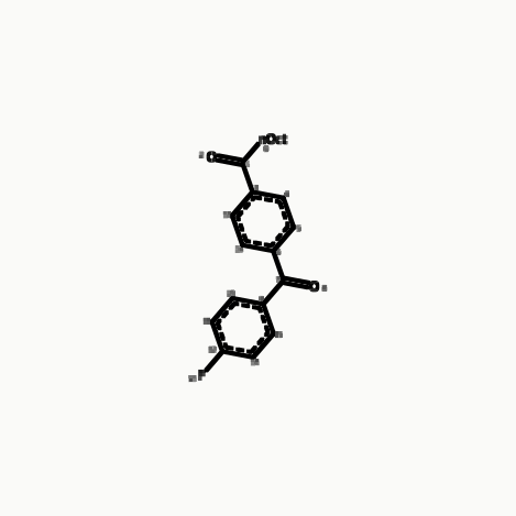 CCCCCCCCC(=O)c1ccc(C(=O)c2ccc(F)cc2)cc1